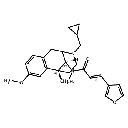 COc1ccc2c(c1)[C@@]1(C)CCN(CC3CC3)C(C2)[C@H]1N(C)C(=O)/C=C/c1ccoc1